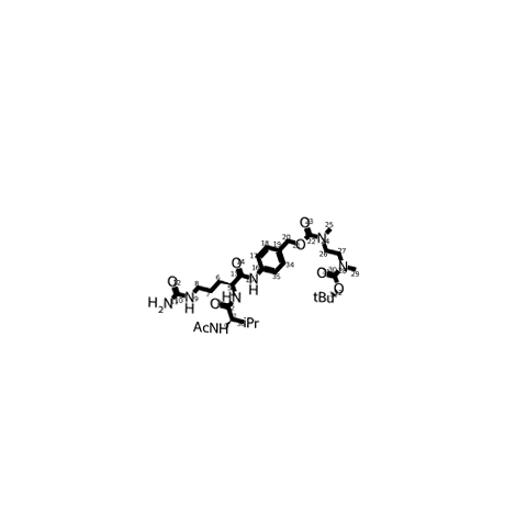 CC(=O)N[C@H](C(=O)N[C@@H](CCCNC(N)=O)C(=O)Nc1ccc(COC(=O)N(C)CCN(C)C(=O)OC(C)(C)C)cc1)C(C)C